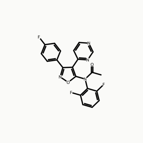 CC(=O)N(c1onc(-c2ccc(F)cc2)c1-c1ccncn1)c1c(F)cccc1F